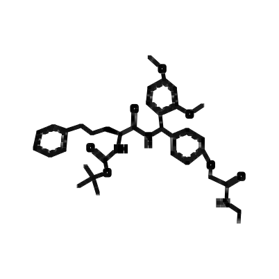 CCNC(=O)COc1ccc(C(NC(=O)[C@H](CCCc2ccccc2)NC(=O)OC(C)(C)C)c2ccc(OC)cc2OC)cc1